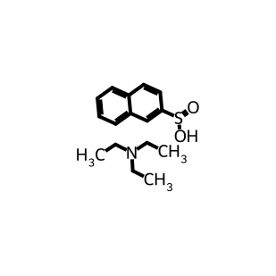 CCN(CC)CC.O=S(O)c1ccc2ccccc2c1